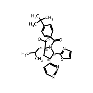 CC(C)C[C@@]1(C(=O)O)C[C@@H](c2ccncn2)[C@H](c2nccs2)N1C(=O)c1ccc(C(C)(C)C)cc1